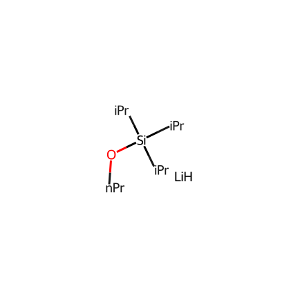 [CH2]CCO[Si](C(C)C)(C(C)C)C(C)C.[LiH]